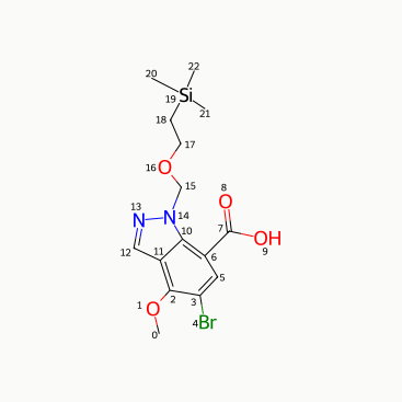 COc1c(Br)cc(C(=O)O)c2c1cnn2COCC[Si](C)(C)C